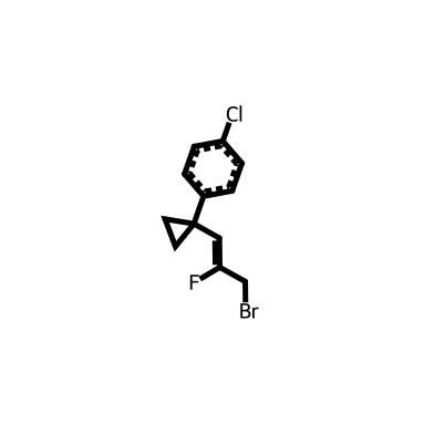 FC(=CC1(c2ccc(Cl)cc2)CC1)CBr